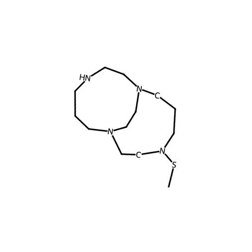 CSN1CCCN2CCNCCCN(CC2)CC1